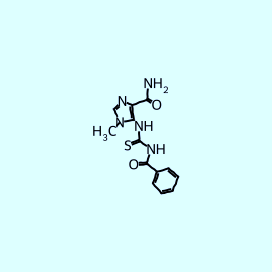 Cn1cnc(C(N)=O)c1NC(=S)NC(=O)c1ccccc1